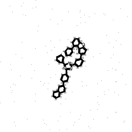 c1ccc(-c2nc(-c3ccc(-c4ccc5ccccc5c4)cc3)nc(-c3cccc(-c4ccc5oc6cccc(-c7ccccc7)c6c5c4)c3)n2)cc1